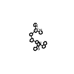 c1ccc(-c2cc(-c3cccc(-c4cccc(-c5ccc6nc(-c7cccc8ccccc78)c7sc8ccccc8c7c6c5)c4)c3)cc(-c3ccccn3)n2)nc1